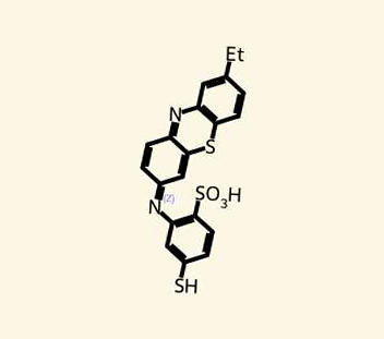 CCc1ccc2sc3c/c(=N\c4cc(S)ccc4S(=O)(=O)O)ccc-3nc2c1